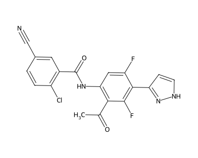 CC(=O)c1c(NC(=O)c2cc(C#N)ccc2Cl)cc(F)c(-c2cc[nH]n2)c1F